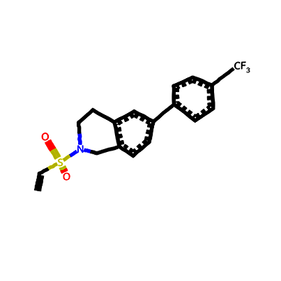 C=CS(=O)(=O)N1CCc2cc(-c3ccc(C(F)(F)F)cc3)ccc2C1